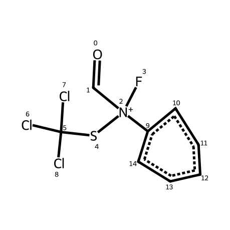 O=C[N+](F)(SC(Cl)(Cl)Cl)c1ccccc1